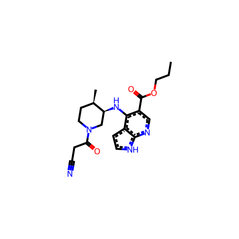 CCCOC(=O)c1cnc2[nH]ccc2c1N[C@H]1CN(C(=O)CC#N)CC[C@H]1C